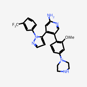 COc1cc(N2CCNCC2)ccc1-c1cnc(N)cc1-c1ccnn1-c1cccc(C(F)(F)F)c1